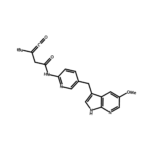 COc1cnc2[nH]cc(Cc3ccc(NC(=O)CC(=C=O)C(C)(C)C)nc3)c2c1